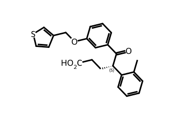 Cc1ccccc1[C@H](CCC(=O)O)C(=O)c1cccc(OCc2ccsc2)c1